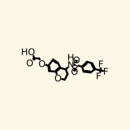 O=C(O)COc1ccc2c(c1)OCCC2NS(=O)(=O)c1ccc(C(F)(F)F)cc1